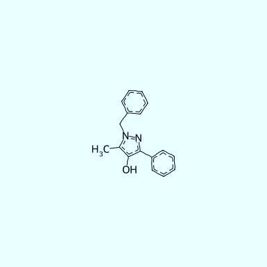 Cc1c(O)c(-c2ccccc2)nn1Cc1ccccc1